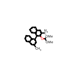 COC(OC)Oc1c(C)cc2ccccc2c1-c1cc(C)cc2ccccc12